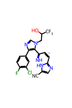 N#Cc1cnc(/C=C\C(=N)c2c(-c3ccc(F)c(Cl)c3)ncn2CC(O)C(F)(F)F)[nH]1